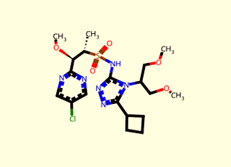 COCC(COC)n1c(NS(=O)(=O)[C@@H](C)[C@H](OC)c2ncc(Cl)cn2)nnc1C1CCC1